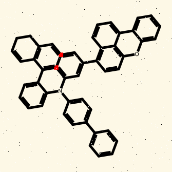 C1=Cc2c(cccc2-c2ccccc2N(c2ccc(-c3ccccc3)cc2)c2cccc(-c3ccc4c5c(cccc35)-c3ccccc3O4)c2)CC1